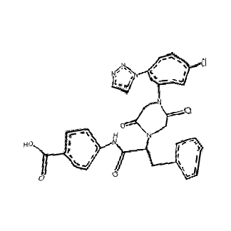 O=C(O)c1ccc(NC(=O)C(Cc2ccccc2)N2CC(=O)N(c3cc(Cl)ccc3-n3ccnn3)CC2=O)cc1